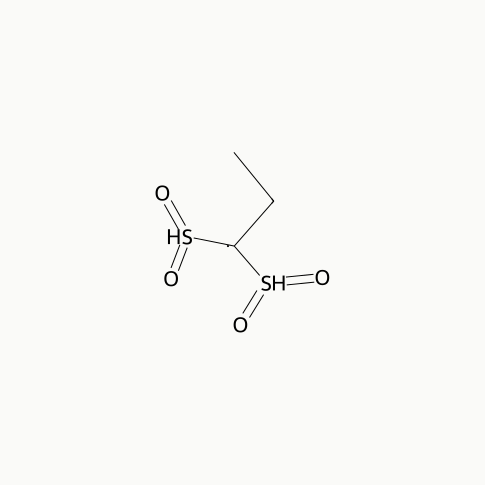 CC[C]([SH](=O)=O)[SH](=O)=O